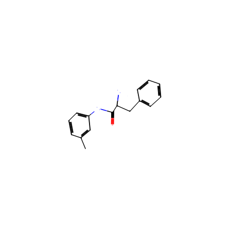 Cc1cccc(NC(=O)C(N)Cc2ccccc2)c1